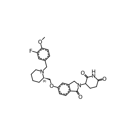 COc1ccc(CN2CCCC[C@@H]2COc2ccc3c(c2)CN(C2CCC(=O)NC2=O)C3=O)cc1F